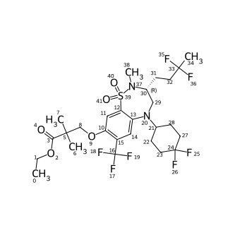 CCOC(=O)C(C)(C)COc1cc2c(cc1C(F)(F)F)N(C1CCC(F)(F)CC1)C[C@@H](CCC(C)(F)F)N(C)S2(=O)=O